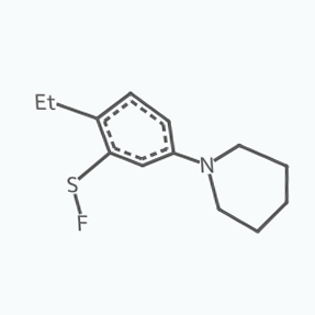 CCc1ccc(N2CCCCC2)cc1SF